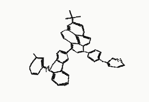 CC1C=C(n2c3ccccc3c3cc(-c4cc(-c5ccc(-c6cccnc6)cc5)c5ccc6cc(C(C)(C)C)cc7ccc4c5c67)ccc32)C=CC1